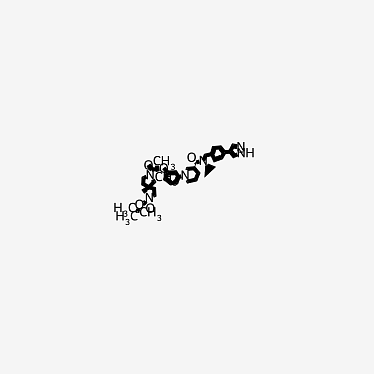 CC(C)(C)OC(=O)N1CCC2(CCN(C(=O)C(C)(C)Oc3cccc(N4CCC[C@@H](C(=O)N(Cc5ccc(-c6cn[nH]c6)cc5)C5CC5)C4)c3)C2)C1